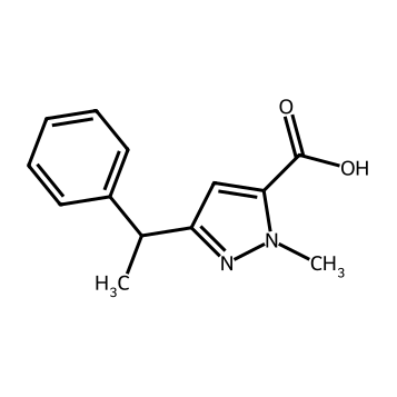 CC(c1ccccc1)c1cc(C(=O)O)n(C)n1